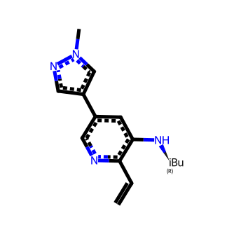 C=Cc1ncc(-c2cnn(C)c2)cc1N[C@H](C)CC